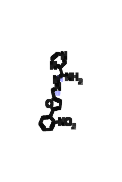 N/C(=N\N=C\c1ccc(-c2ccccc2[N+](=O)[O-])o1)c1cnccn1